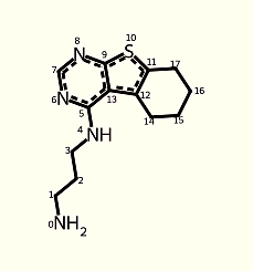 NCCCNc1ncnc2sc3c(c12)CCCC3